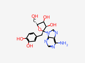 Nc1ncnc2c1ncn2[C@]1(Cc2ccc(O)c(O)c2)O[C@H](CO)[C@@H](O)[C@H]1O